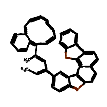 C/C=C(\C=C(/C)c1cccccccc2ccccc12)c1ccc2sc3ccc4ccc5c6ccccc6sc5c4c3c2c1